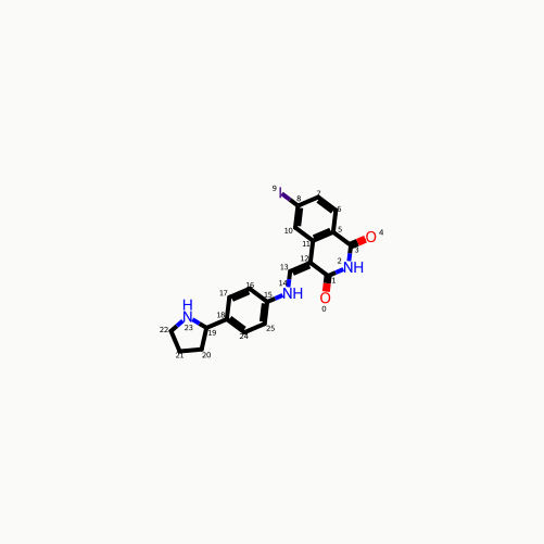 O=C1NC(=O)c2ccc(I)cc2C1=CNc1ccc(C2CCCN2)cc1